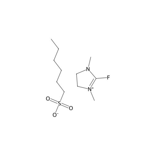 CCCCCCS(=O)(=O)[O-].CN1CC[N+](C)=C1F